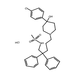 CS(=O)(=O)NCC(CCCN1CCC(O)(c2ccc(Cl)cc2)CC1)(c1ccccc1)c1ccccc1.Cl